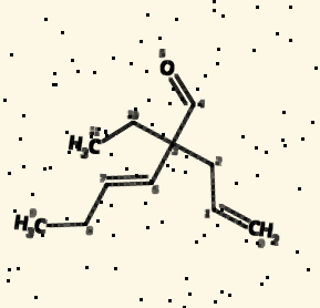 C=CCC(C=O)(C=CCC)CC